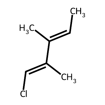 C/C=C(C)/C(C)=C/Cl